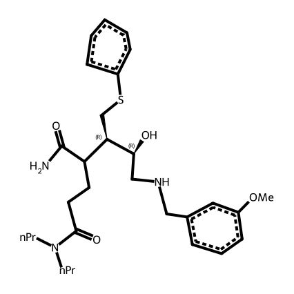 CCCN(CCC)C(=O)CCC(C(N)=O)[C@@H](CSc1ccccc1)[C@@H](O)CNCc1cccc(OC)c1